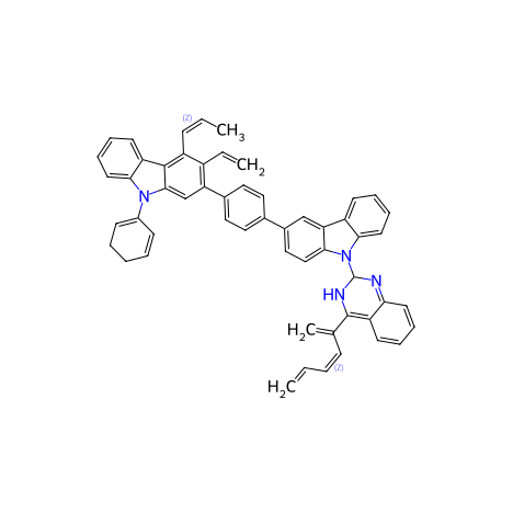 C=C/C=C\C(=C)C1=c2ccccc2=NC(n2c3ccccc3c3cc(-c4ccc(-c5cc6c(c(/C=C\C)c5C=C)c5ccccc5n6C5=CCCC=C5)cc4)ccc32)N1